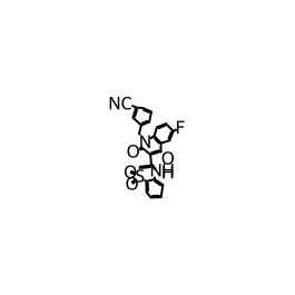 N#Cc1cccc(Cn2c(=O)c(C3=CS(=O)(=O)c4ccccc4N3)c(O)c3cc(F)ccc32)c1